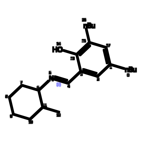 CCCCc1cc(/C=N/C2CCCCC2C)c(O)c(CCCC)c1